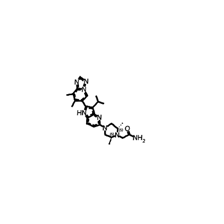 Cc1c(-c2[nH]c3ccc(N4C[C@H](C)N(CC(N)=O)[C@@H](C)C4)nc3c2C(C)C)cn2ncnc2c1C